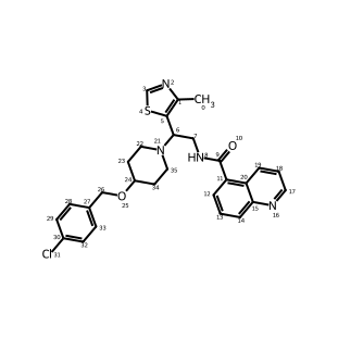 Cc1ncsc1C(CNC(=O)c1cccc2ncccc12)N1CCC(OCc2ccc(Cl)cc2)CC1